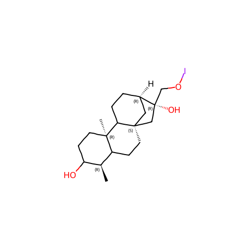 C[C@H]1C(O)CC[C@]2(C)C1CC[C@@]13C[C@@H](CCC12)[C@@](O)(COI)C3